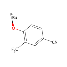 CC[C@H](C)Oc1ccc(C#N)cc1C(F)(F)F